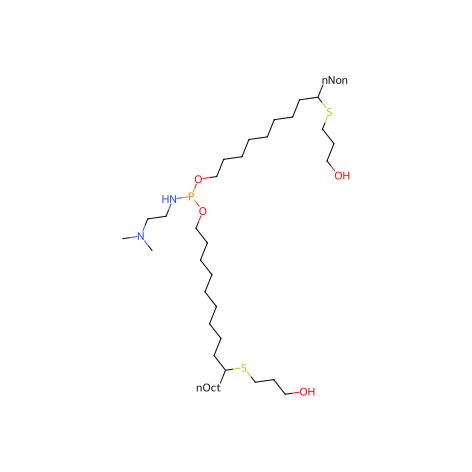 CCCCCCCCCC(CCCCCCCCOP(NCCN(C)C)OCCCCCCCCCC(CCCCCCCC)SCCCO)SCCCO